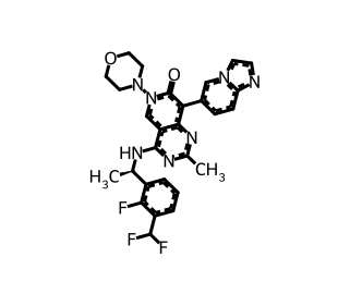 Cc1nc(N[C@H](C)c2cccc(C(F)F)c2F)c2cn(N3CCOCC3)c(=O)c(-c3ccc4nccn4c3)c2n1